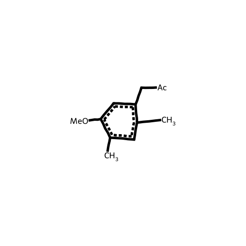 COc1cc(CC(C)=O)c(C)cc1C